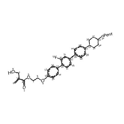 C=C(CO)C(=O)OCCOc1ccc(-c2ccc(-c3ccc(C4CCC(CCCCC)CC4)cc3)cc2F)cc1